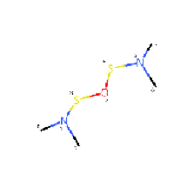 CN(C)SOSN(C)C